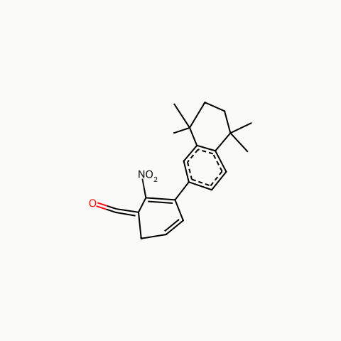 CC1(C)CCC(C)(C)c2cc(C3=C([N+](=O)[O-])C(=C=O)CC=C3)ccc21